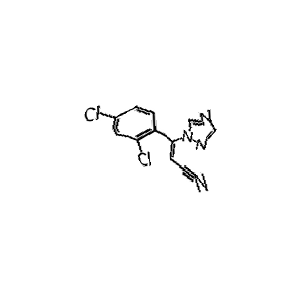 N#CC=C(c1ccc(Cl)cc1Cl)n1cncn1